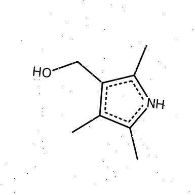 Cc1[nH]c(C)c(CO)c1C